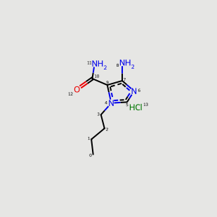 CCCCn1cnc(N)c1C(N)=O.Cl